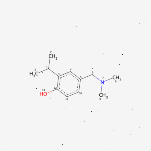 CC(C)c1cc(CN(C)C)ccc1O